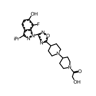 CC(C)c1nn(-c2noc(C3CCN(C4CCN(C(=O)CO)CC4)CC3)n2)c2c(F)c(O)ccc12